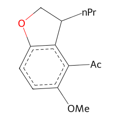 CCCC1COc2ccc(OC)c(C(C)=O)c21